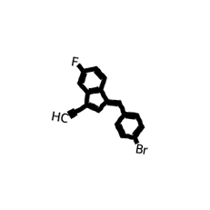 C#CC1=CC(=Cc2ccc(Br)cc2)c2ccc(F)cc21